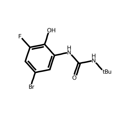 CC(C)(C)NC(=O)Nc1cc(Br)cc(F)c1O